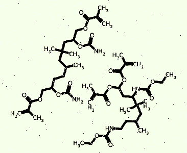 C=C(C)C(=O)OC(CC(NC(=O)OCC)C(C)(C)CC(C)CCNC(=O)OCC)OC(=O)C(=C)C.C=C(C)C(=O)OCC(CCC(C)CC(C)(C)CC(COC(=O)C(=C)C)OC(N)=O)OC(N)=O